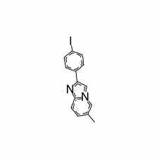 Cc1ccc2nc(-c3ccc(I)cc3)cn2c1